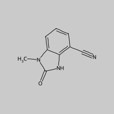 Cn1c(=O)[nH]c2c(C#N)cccc21